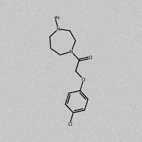 CC(C)N1CCCN(C(=O)COc2ccc(Cl)cc2)CC1